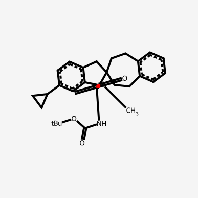 CN1C(=O)C2(N=C1NC(=O)OC(C)(C)C)c1cc(C3CC3)ccc1CC21CCc2ccccc2CC1